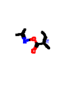 C/C=C(/C)C(=O)ON=C(C)C